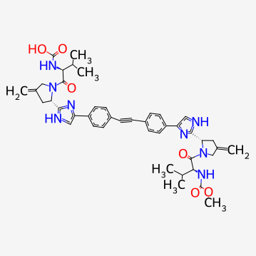 C=C1C[C@@H](c2nc(-c3ccc(C#Cc4ccc(-c5c[nH]c([C@@H]6CC(=C)CN6C(=O)[C@@H](NC(=O)OC)C(C)C)n5)cc4)cc3)c[nH]2)N(C(=O)[C@@H](NC(=O)O)C(C)C)C1